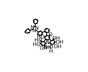 Oc1c(O)c(O)c2c(c1O)c1c(O)c3c(oc4cccc(-c5cccc(-c6nc(-c7ccccc7)nc(-c7ccccc7)n6)c5)c43)c3c4c(O)c(O)c(O)c(O)c4n2c13